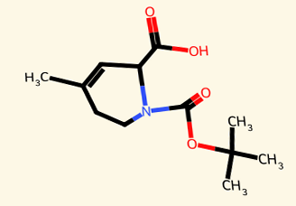 CC1=CC(C(=O)O)N(C(=O)OC(C)(C)C)CC1